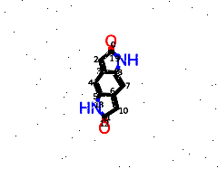 O=C1C=c2cc3c(cc2N1)=CC(=O)N3